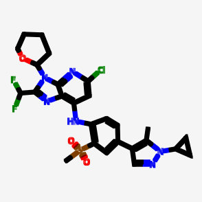 Cc1c(-c2ccc(Nc3cc(Cl)nc4c3nc(C(F)F)n4C3CCCCO3)c(S(C)(=O)=O)c2)cnn1C1CC1